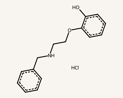 Cl.Oc1ccccc1OCCNCc1ccccc1